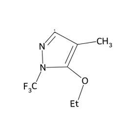 CCOc1c(C)[c]nn1C(F)(F)F